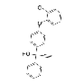 C#CC(O)(c1ccccc1)c1ccc(Oc2ccccc2Cl)cc1